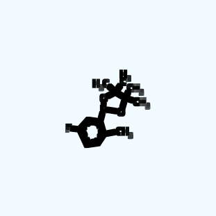 Cc1ccc(F)cc1B1OC(C)(C)C(C)(C)O1